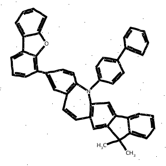 CC1(C)c2ccccc2-c2cc3c(cc21)C=Cc1cc(-c2cccc4c2oc2ccccc24)ccc1N3c1ccc(-c2ccccc2)cc1